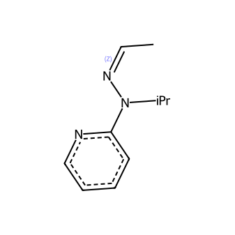 C/C=N\N(c1ccccn1)C(C)C